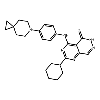 O=c1[nH]ncc2nc(C3CCCCC3)nc(Nc3ccc(N4CCC5(CC4)CC5)cc3)c12